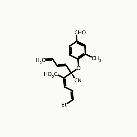 C=C/C=C/[C@](C#N)(Oc1ccc(C=O)cc1C)/C(=C\C=C/CC)C(=O)O